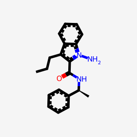 CCCc1c(C(=O)N[C@@H](C)c2ccccc2)n(N)c2ccccc12